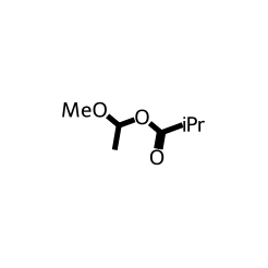 COC(C)OC(=O)C(C)C